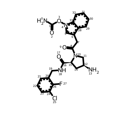 NC(=O)On1cc(CC(=O)N2C[C@@H](N)C[C@H]2C(=O)NCc2cccc(Cl)c2F)c2ccccc21